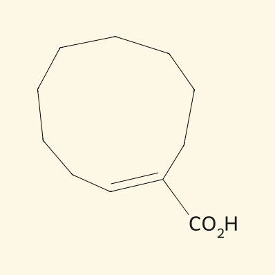 O=C(O)C1=CCCCCCCCC1